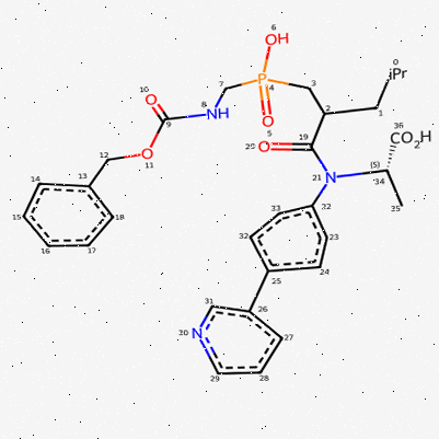 CC(C)CC(CP(=O)(O)CNC(=O)OCc1ccccc1)C(=O)N(c1ccc(-c2cccnc2)cc1)[C@@H](C)C(=O)O